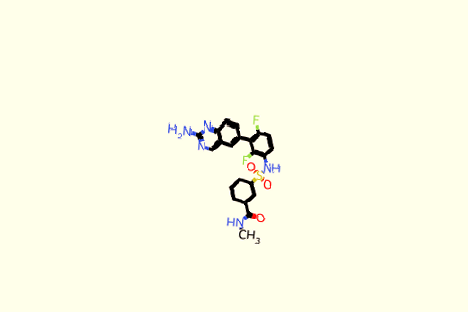 CNC(=O)C1CCCC(S(=O)(=O)Nc2ccc(F)c(-c3ccc4nc(N)ncc4c3)c2F)C1